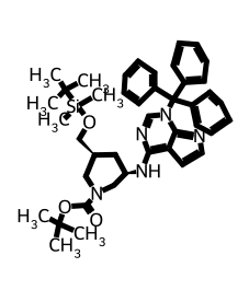 CC(C)(C)OC(=O)N1C[C@@H](CO[Si](C)(C)C(C)(C)C)C[C@@H](Nc2ncn(C(c3ccccc3)(c3ccccc3)c3ccccc3)c3nccc2-3)C1